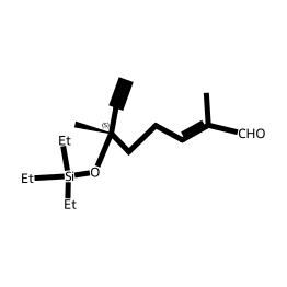 C#C[C@](C)(CCC=C(C)C=O)O[Si](CC)(CC)CC